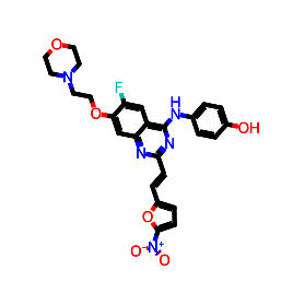 O=[N+]([O-])c1ccc(C=Cc2nc(Nc3ccc(O)cc3)c3cc(F)c(OCCN4CCOCC4)cc3n2)o1